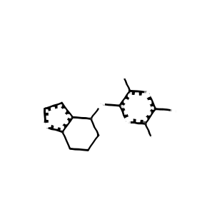 CCc1nc(NC2CCCc3sccc32)c(CC)nc1Br